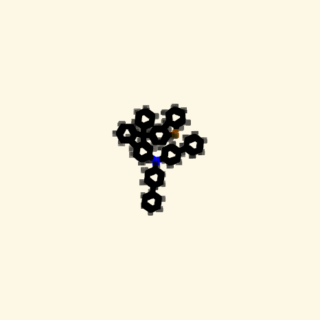 c1ccc(-c2ccc(N(c3ccc(-c4ccccc4)cc3)c3ccc4c(c3)C(c3ccccc3)(c3ccc5sc6ccccc6c5c3)c3ccccc3-4)cc2)cc1